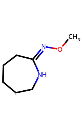 CON=C1CCC[CH]CN1